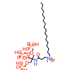 CCCCCCCCCCCCCCCCCC[N+](C)(Br)CCC(=O)NC(COCP(=O)(O)O)(COCP(=O)(O)O)COCP(=O)(O)O